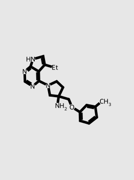 CCc1c[nH]c2ncnc(N3CCC(N)(COc4cccc(C)c4)C3)c12